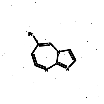 CC(C)C1=Cn2ccnc2N=C=C1